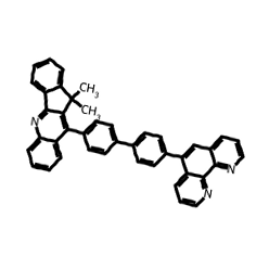 CC1(C)c2ccccc2-c2nc3ccccc3c(-c3ccc(-c4ccc(-c5cc6cccnc6c6ncccc56)cc4)cc3)c21